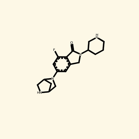 O=C1c2c(F)cc(N3CC4CC3CN4)cc2CN1C1CCCNC1